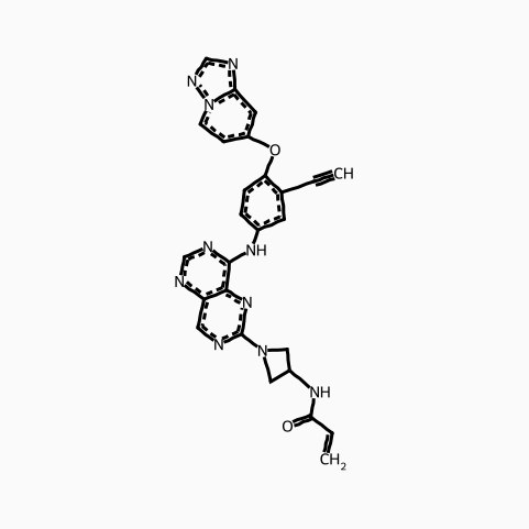 C#Cc1cc(Nc2ncnc3cnc(N4CC(NC(=O)C=C)C4)nc23)ccc1Oc1ccn2ncnc2c1